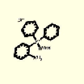 CCCCCC[P+](c1ccccc1)(c1ccccc1)c1ccccc1N.[Br-]